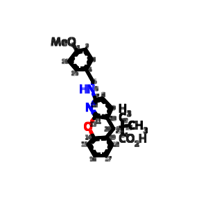 COc1ccc(CNc2ccc3c(n2)Oc2ccccc2[C@H]3C(C)(C)C(=O)O)cc1